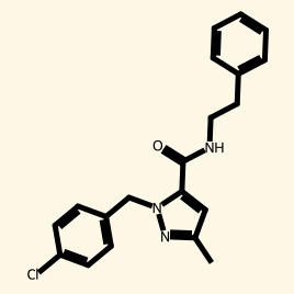 Cc1cc(C(=O)NCCc2ccccc2)n(Cc2ccc(Cl)cc2)n1